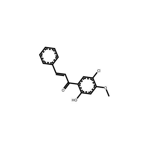 COc1cc(O)c(C(=O)C=Cc2ccccc2)cc1Cl